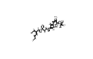 CCCCC(CC)COC(=O)CCSc1csc(CN(C)C(=O)OC(C)(C)C)c1